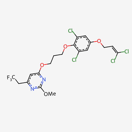 COc1nc(CC(F)(F)F)cc(OCCCOc2c(Cl)cc(OCC=C(Cl)Cl)cc2Cl)n1